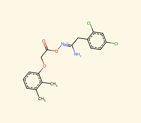 Cc1cccc(OCC(=O)O/N=C(\N)Cc2ccc(Cl)cc2Cl)c1C